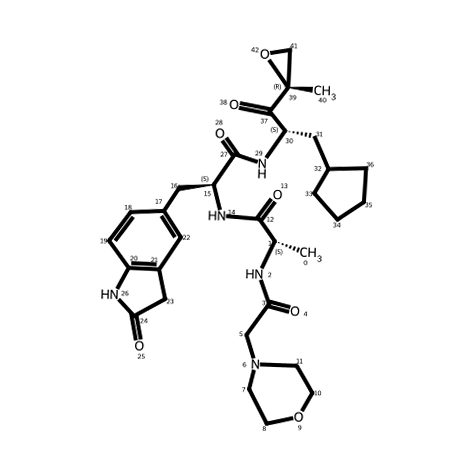 C[C@H](NC(=O)CN1CCOCC1)C(=O)N[C@@H](Cc1ccc2c(c1)CC(=O)N2)C(=O)N[C@@H](CC1CCCC1)C(=O)[C@@]1(C)CO1